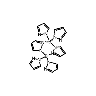 c1cnn([B-]2(n3cccn3)n3ccc[n+]3[B-](n3cccn3)(n3cccn3)n3ccc[n+]32)c1